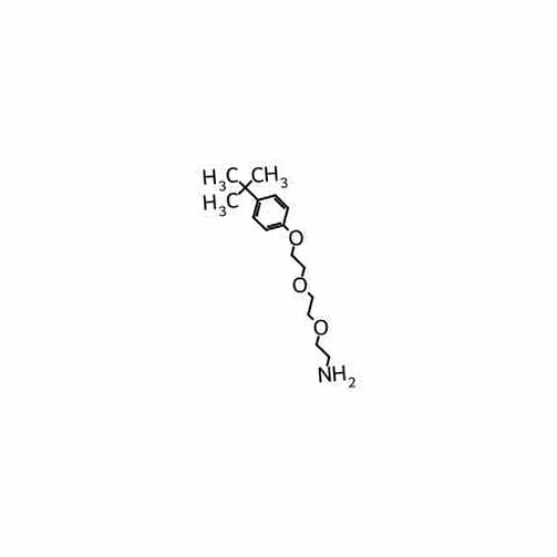 CC(C)(C)c1ccc(OCCOCCOCCN)cc1